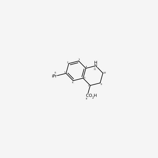 CC(C)c1ccc2c(c1)C(C(=O)O)CCN2